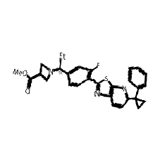 CC[C@@H](c1ccc(-c2nc3ccc(C4(c5ccccc5)CC4)nc3s2)c(F)c1)N1CC(C(=O)OC)C1